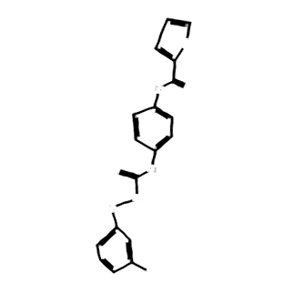 O=C(Nc1ccc(NC(=S)NNc2cccc(Cl)c2)cc1)c1ccco1